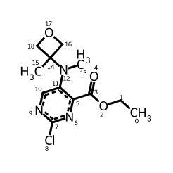 CCOC(=O)c1nc(Cl)ncc1N(C)C1(C)COC1